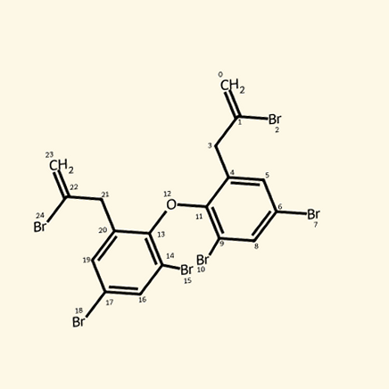 C=C(Br)Cc1cc(Br)cc(Br)c1Oc1c(Br)cc(Br)cc1CC(=C)Br